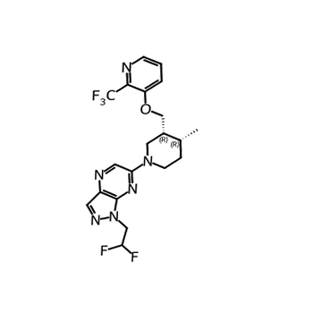 C[C@@H]1CCN(c2cnc3cnn(CC(F)F)c3n2)C[C@@H]1COc1cccnc1C(F)(F)F